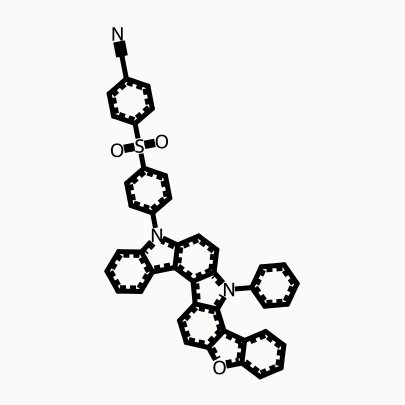 N#Cc1ccc(S(=O)(=O)c2ccc(-n3c4ccccc4c4c5c6ccc7oc8ccccc8c7c6n(-c6ccccc6)c5ccc43)cc2)cc1